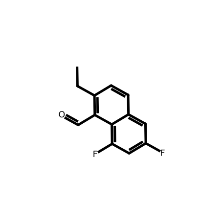 CCc1ccc2cc(F)cc(F)c2c1C=O